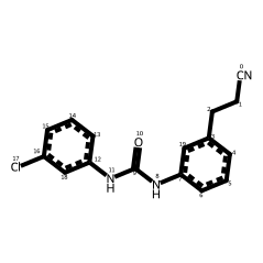 N#CCCc1cccc(NC(=O)Nc2cccc(Cl)c2)c1